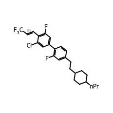 CCCC1CCC(CCc2ccc(-c3cc(F)c(/C=C/C(F)(F)F)c(Cl)c3)c(F)c2)CC1